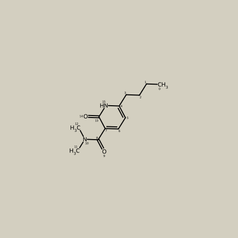 CCCCc1ccc(C(=O)N(C)C)c(=O)[nH]1